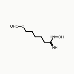 N=C(CCCCCOC=O)NO